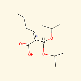 CCC/C=C(\C(=O)O)[SiH](OC(C)C)OC(C)C